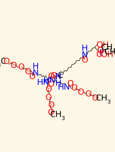 COCCOCCOCCOCC(=O)NCCCCC(NC(=O)COCCOCCOCCOC)C(=O)NC(CCCCNC(=O)COCCOCCOCCOC)C(=O)NCCCCCCCCCCCC(=O)NCCCCC(CO)COP(=O)(O)C(C)C